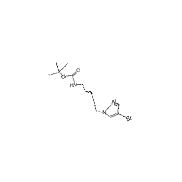 CC(C)(C)OC(=O)NCCCCn1cc(Br)cn1